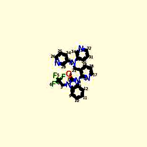 O=c1n(CC(F)(F)F)c2ccccc2n1-c1ncccc1CN(c1cccnc1)c1cccnc1